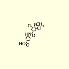 COc1c(Cl)cc(C(=O)Nc2ccc(C(=O)O)cc2)cc1Cl